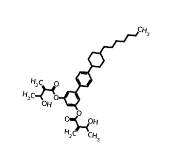 C=C(C(=O)Oc1cc(OC(=O)C(=C)C(C)O)cc(-c2ccc(C3CCC(CCCCCCC)CC3)cc2)c1)C(C)O